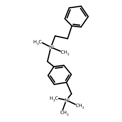 C[N+](C)(C)Cc1ccc(C[N+](C)(C)CCc2ccccc2)cc1